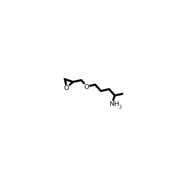 CC(N)CCCOCC1CO1